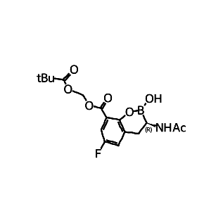 CC(=O)N[C@H]1Cc2cc(F)cc(C(=O)OCOC(=O)C(C)(C)C)c2OB1O